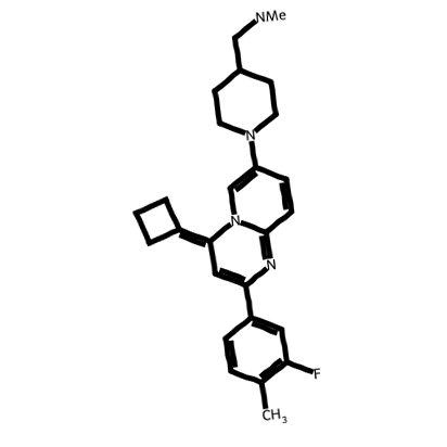 CNCC1CCN(C2=CN3C(=NC(c4ccc(C)c(F)c4)=CC3=C3CCC3)C=C2)CC1